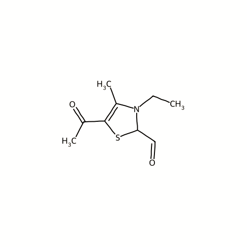 CCN1C(C)=C(C(C)=O)SC1C=O